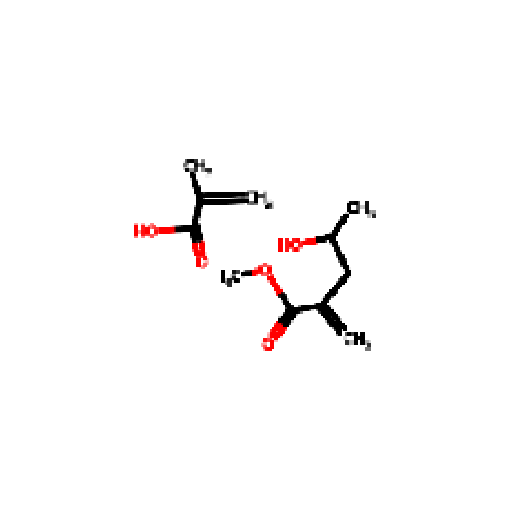 C=C(C)C(=O)O.C=C(CC(C)O)C(=O)OC